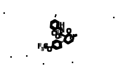 CN1CC[C@H](c2ccc(OC(F)(F)F)cc2)[C@@H](C(=O)Nc2ccccc2C(F)(F)F)C1=O